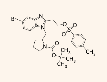 Cc1ccc(S(=O)(=O)OCCc2nc3cc(Br)ccc3n2CC2CCCN2C(=O)OC(C)(C)C)cc1